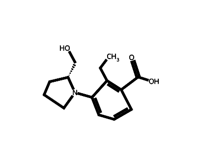 CCc1c(C(=O)O)cccc1N1CCC[C@@H]1CO